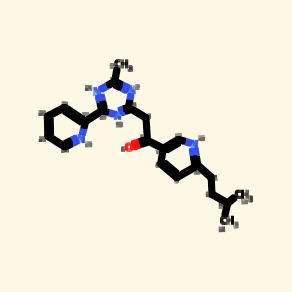 Cc1nc(CC(=O)c2ccc(CCC(C)C)nc2)nc(-c2ccccn2)n1